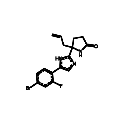 C=CCC1(c2ncc(-c3ccc(Br)cc3F)[nH]2)CCC(=O)N1